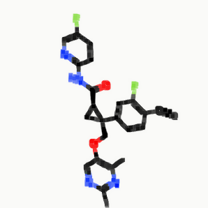 COc1ccc([C@]2(COc3cnc(C)nc3C)C[C@H]2C(=O)Nc2ccc(F)cn2)cc1F